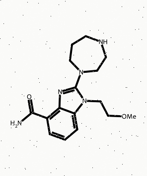 COCCn1c(N2CCCNCC2)nc2c(C(N)=O)cccc21